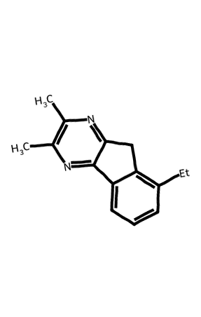 CCc1cccc2c1Cc1nc(C)c(C)nc1-2